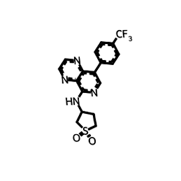 O=S1(=O)CCC(Nc2ncc(-c3ccc(C(F)(F)F)cc3)c3nccnc23)C1